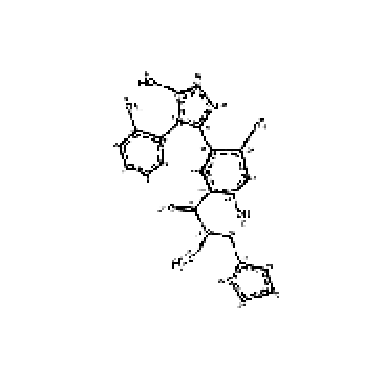 Cc1ccccc1-n1c(O)nnc1-c1cc(C(=O)N(C)Cc2cccs2)c(O)cc1O